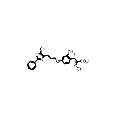 CCO[C@@H](Cc1ccc(OCCCc2nc(-c3ccccc3)oc2C)cc1C)C(=O)O